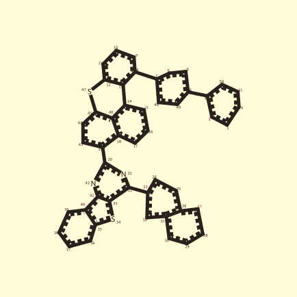 c1ccc(-c2ccc(-c3cccc4c3-c3cccc5c(-c6nc(-c7ccc8ccccc8c7)c7sc8ccccc8c7n6)ccc(c35)S4)cc2)cc1